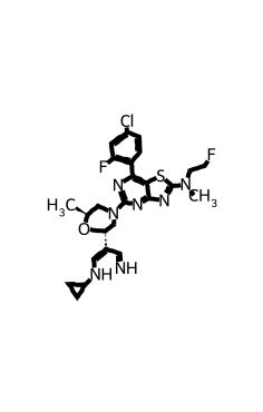 C[C@H]1CN(c2nc(-c3ccc(Cl)cc3F)c3sc(N(C)CCF)nc3n2)C[C@H](/C(C=N)=C/NC2CC2)O1